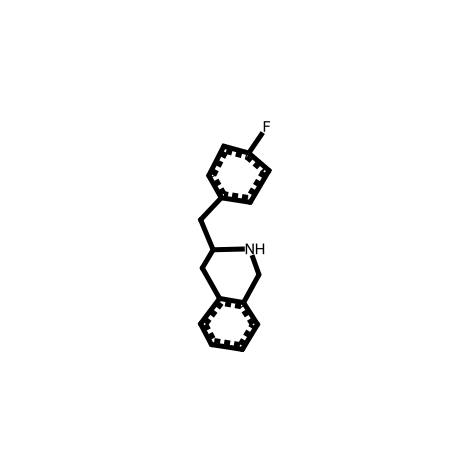 Fc1ccc(CC2Cc3ccccc3CN2)cc1